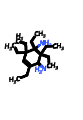 CCC1=CC(CC)(CC)C(N)(CC)C(CC)(CC)C1N